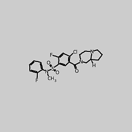 CN(c1ccccc1F)S(=O)(=O)c1cc(C(=O)N2CCN3CCC[C@@H]3C2)c(Cl)cc1F